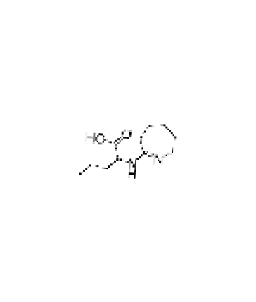 CCCC(NC1=NCCCCC1)C(=O)O